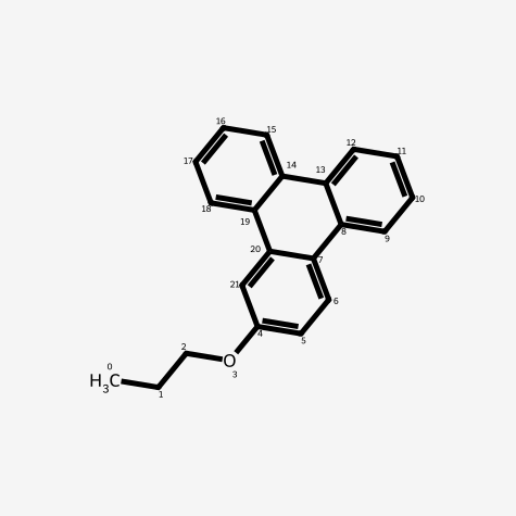 CCCOc1ccc2c3ccccc3c3ccccc3c2c1